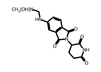 CN(O)CNc1ccc2c(c1)C(=O)N(C1CCC(=O)NC1=O)C2=O